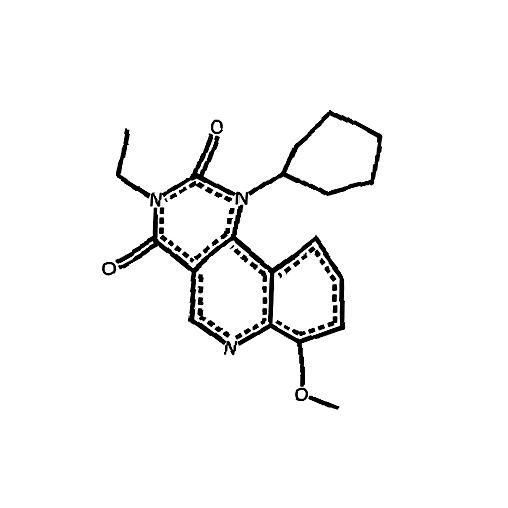 CCn1c(=O)c2cnc3c(OC)cccc3c2n(C2CCCCC2)c1=O